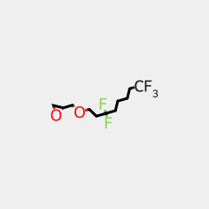 FC(F)(F)CCCCC(F)(F)CCOCC1CO1